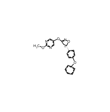 COc1ncc(OC2=NO[C@H](c3ccc(Oc4ccccc4)cc3)C2)cn1